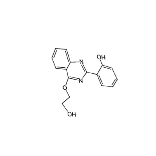 OCCOc1nc(-c2ccccc2O)nc2ccccc12